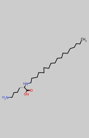 CCCCCCCCCCCCCCCCCCN[C@@H](CCCCN)C(=O)O